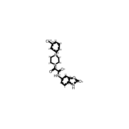 O=C(Nc1ccc2[nH]c(=O)oc2c1)C(=O)N1CCN(c2cccc(Cl)c2)CC1